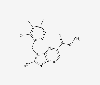 COC(=O)c1ccc2nc(C)n(Cc3ccc(Cl)c(Cl)c3Cl)c2n1